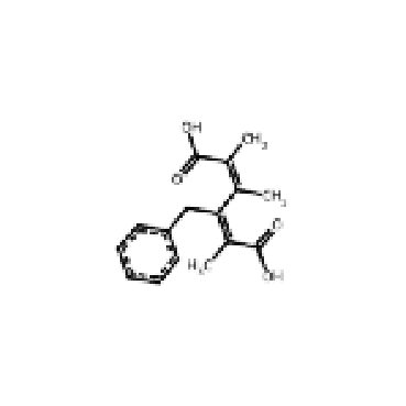 CC(C(=O)O)=C(C)C(Cc1ccccc1)=C(C)C(=O)O